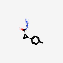 Cc1ccc([C@H]2C[C@@H]2C(=O)N=[N+]=[N-])cc1